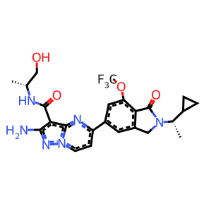 C[C@H](CO)NC(=O)c1c(N)nn2ccc(-c3cc4c(c(OC(F)(F)F)c3)C(=O)N([C@@H](C)C3CC3)C4)nc12